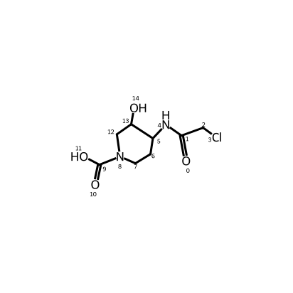 O=C(CCl)NC1CCN(C(=O)O)CC1O